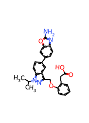 CC(C)n1nc(COc2ccccc2CC(=O)O)c2cc(-c3ccc4nc(N)oc4c3)ccc21